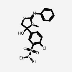 CCN(CC)S(=O)(=O)c1cc(C2(O)CSC(=Nc3ccccc3)N2C)ccc1Cl